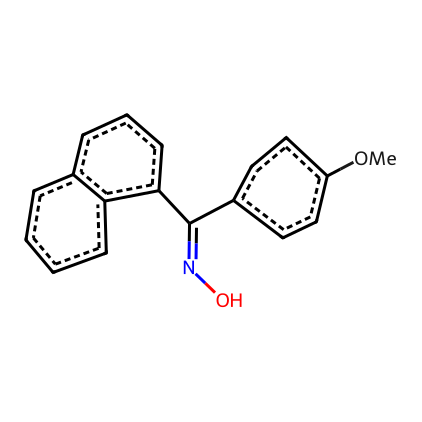 COc1ccc(C(=NO)c2cccc3ccccc23)cc1